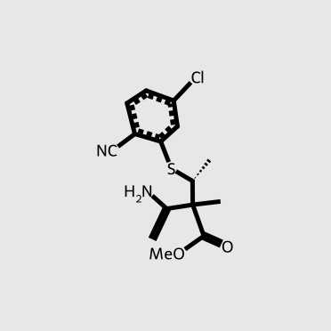 C=C(N)C(C)(C(=O)OC)[C@@H](C)Sc1cc(Cl)ccc1C#N